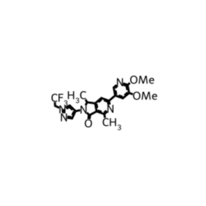 COc1cc(-c2cc3c(c(C)n2)C(=O)N(c2cnn(CC(F)(F)F)c2)C3C)cnc1OC